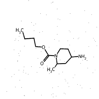 CCCCOC(=O)N1CCC(N)CC1C